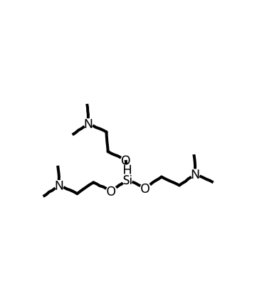 CN(C)CCO[SiH](OCCN(C)C)OCCN(C)C